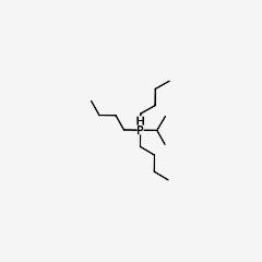 CCCC[PH](CCCC)(CCCC)C(C)C